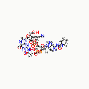 CC(C)C(=O)Nc1nc2c(ncn2[C@@H]2O[C@H](CO)[C@@H](C)[C@H]2OP(=O)(OCCC#N)OC[C@H]2O[C@@H](n3cnc4c(NC(=O)c5ccccc5)nccc43)[C@H](C)[C@@H]2O[PH](=O)O)c(=O)[nH]1